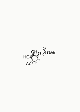 COC(=O)COc1ccc(C(C)=O)c(O)c1O